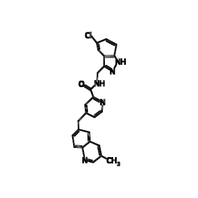 Cc1cnc2ccc(Cc3ccnc(C(=O)NCc4n[nH]c5ccc(Cl)cc45)c3)cc2c1